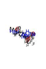 COC[C@H](c1ccc2[nH]c([C@H](COC(C)(C)C(F)(F)F)NC(=O)c3nonc3C)nc2c1)N1CC(C)(C)NC1=O